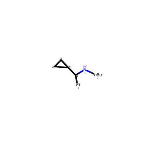 CCC[CH]NC(CC)C1CC1